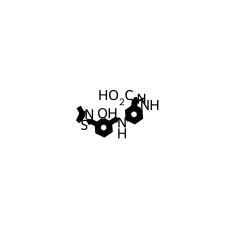 Cc1csc(-c2cccc(CNc3ccc4[nH]nc(C(=O)O)c4c3)c2O)n1